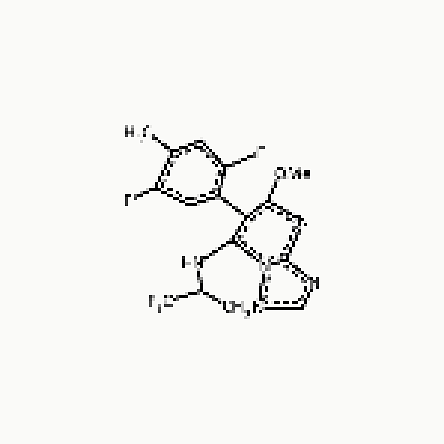 COc1nc2ncnn2c(NC(C)C(F)(F)F)c1-c1cc(F)c(C)cc1F